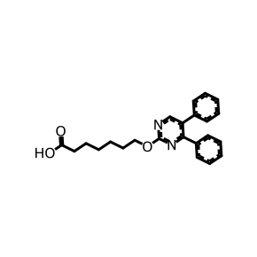 O=C(O)CCCCCCOc1ncc(-c2ccccc2)c(-c2ccccc2)n1